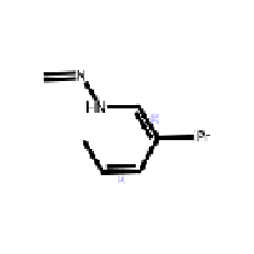 C=NN/C=C(\C=C/C)C(C)C